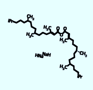 C/C(=C\C(=O)OC(=O)/C=C(\C)CCC[C@H](C)CCC[C@H](C)CCCC(C)C)CCC[C@H](C)CCC[C@H](C)CCCC(C)C.[NaH].[NaH]